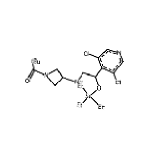 CC[Si](CC)(CC)OC(CNC1CN(C(=O)C(C)(C)C)C1)c1c(Cl)cncc1Cl